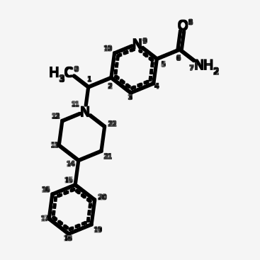 CC(c1ccc(C(N)=O)nc1)N1CCC(c2ccccc2)CC1